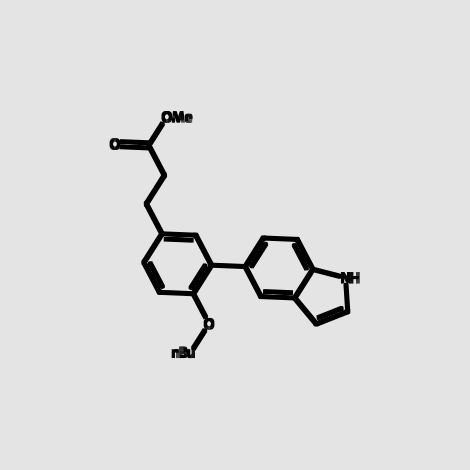 CCCCOc1ccc(CCC(=O)OC)cc1-c1ccc2[nH]ccc2c1